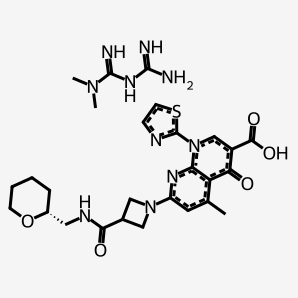 CN(C)C(=N)NC(=N)N.Cc1cc(N2CC(C(=O)NC[C@H]3CCCCO3)C2)nc2c1c(=O)c(C(=O)O)cn2-c1nccs1